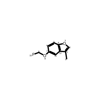 Cc1coc2ccc(OCF)cc12